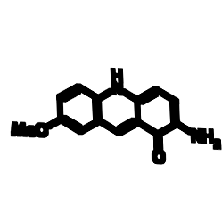 COc1ccc2[nH]c3ccc(N)c(=O)c-3cc2c1